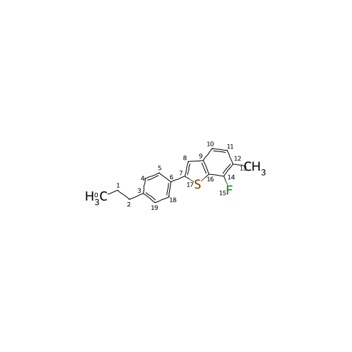 CCCc1ccc(-c2cc3ccc(C)c(F)c3s2)cc1